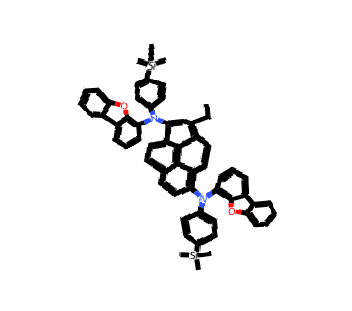 CCc1cc(N(c2ccc([Si](C)(C)C)cc2)c2cccc3c2oc2ccccc23)c2ccc3ccc(N(c4ccc([Si](C)(C)C)cc4)c4cccc5c4oc4ccccc45)c4ccc1c2c34